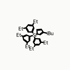 CCc1cc(CC)cc([Si]([C]2C=CC(C(C)CC)=C2)(c2cc(CC)cc(CC)c2)c2cc(CC)cc(CC)c2)c1